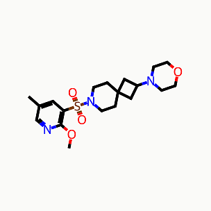 COc1ncc(C)cc1S(=O)(=O)N1CCC2(CC1)CC(N1CCOCC1)C2